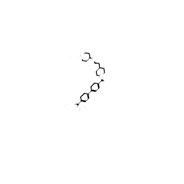 CN1CCC(OC(=O)CC2CCN(C(=O)c3ccc(-c4ccc(C(=N)N)cc4)cc3)CC2)CC1